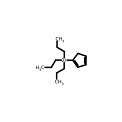 CC[CH2][Zr]([CH2]CC)([CH2]CC)[C]1=CC=CC1